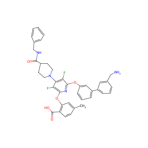 Cc1ccc(C(=O)O)c(Oc2nc(Oc3cccc(-c4cccc(CN)c4)c3)c(F)c(N3CCC(C(=O)NCc4ccccc4)CC3)c2F)c1